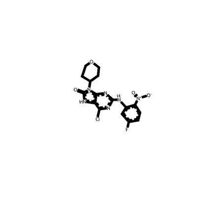 O=c1[nH]c2c(Cl)nc(Nc3cc(F)ccc3[N+](=O)[O-])nc2n1C1CCOCC1